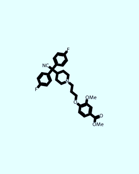 COC(=O)c1ccc(OCCCN2CCC(C(C#N)(c3ccc(F)cc3)c3ccc(F)cc3)CC2)c(OC)c1